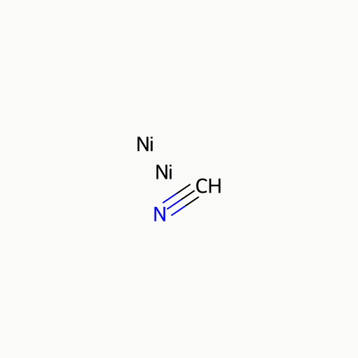 C#N.[Ni].[Ni]